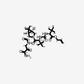 C=CCOC(=O)[C@@H](NC(=O)N[C@H](C(=O)N1C[C@H]2[C@@H]([C@H]1C(=O)NCC(=O)C(N)=O)C2(C)C)C(C)(C)C)C(C)(C)C